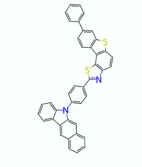 c1ccc(-c2ccc3c(c2)sc2ccc4nc(-c5ccc(-n6c7ccccc7c7cc8ccccc8cc76)cc5)sc4c23)cc1